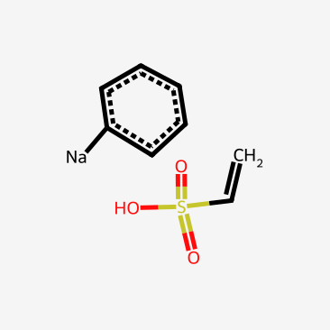 C=CS(=O)(=O)O.[Na][c]1ccccc1